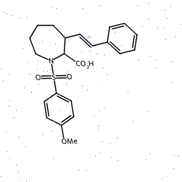 COc1ccc(S(=O)(=O)N2CCCCC(/C=C/c3ccccc3)C2C(=O)O)cc1